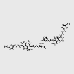 Cc1c(OCCCN(C)CCCN(C)CCCOc2cccc(-c3cccc(OCCCN4CC[C@@H](O)C4)c3C)c2C)cccc1-c1cccc(OCCCN2CC[C@@H](O)C2)c1C